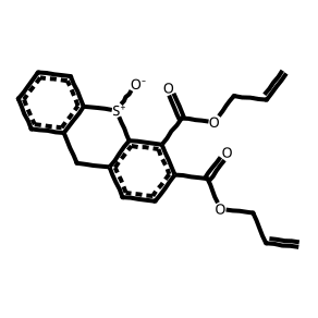 C=CCOC(=O)c1ccc2c(c1C(=O)OCC=C)[S+]([O-])c1ccccc1C2